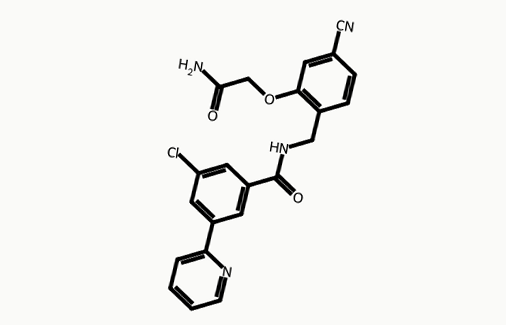 N#Cc1ccc(CNC(=O)c2cc(Cl)cc(-c3ccccn3)c2)c(OCC(N)=O)c1